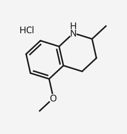 COc1cccc2c1CCC(C)N2.Cl